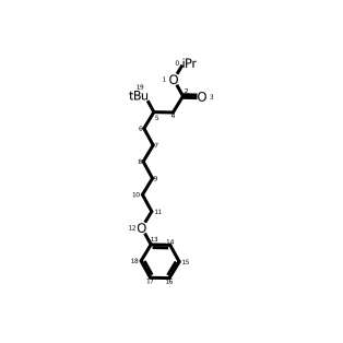 CC(C)OC(=O)CC(CCCCCCOc1ccccc1)C(C)(C)C